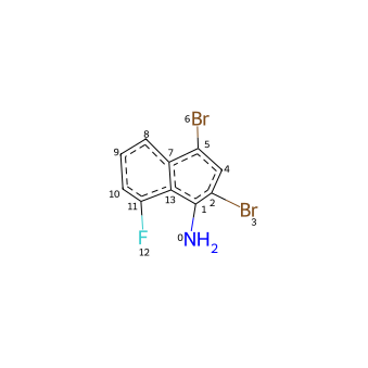 Nc1c(Br)cc(Br)c2cccc(F)c12